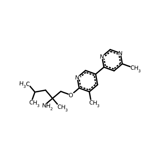 Cc1cc(-c2cnc(OCC(C)(N)CC(C)C)c(C)c2)ncn1